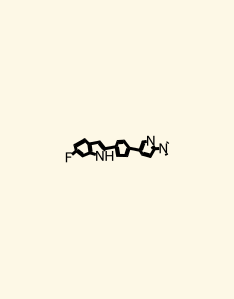 CN(C)c1ccc(-c2ccc(-c3cc4ccc(F)cc4[nH]3)cc2)cn1